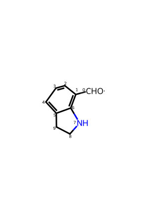 O=[C]c1cccc2c1NCC2